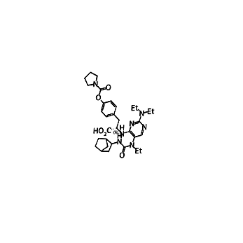 CCN(CC)c1ncc(N(CC)C(=O)NC2CC3CCC2C3)c(N[C@@H](Cc2ccc(OC(=O)N3CCCC3)cc2)C(=O)O)n1